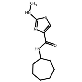 CNc1nc(C(=O)NC2CCCCCC2)cs1